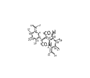 C=C(C)c1cc(/C(C(=O)O)=C(\C(=O)O)c2cc(C(=C)C)c(C)c(C)c2C)c(C)c(C)c1C